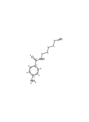 CC(C)CCCCCNC(=O)c1ccc(N)cc1